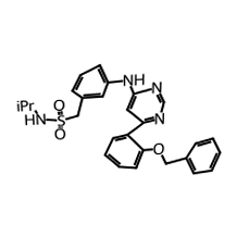 CC(C)NS(=O)(=O)Cc1cccc(Nc2cc(-c3ccccc3OCc3ccccc3)ncn2)c1